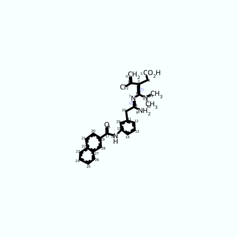 C=C(Cl)/C(CC(=O)O)=C(\N=C(/N)Cc1cccc(NC(=O)c2ccc3ccccc3c2)c1)N(C)C